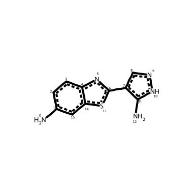 Nc1ccc2nc(-c3cn[nH]c3N)sc2c1